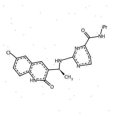 CC(C)NC(=O)c1ccnc(N[C@@H](C)c2cc3cc(Cl)ccc3[nH]c2=O)n1